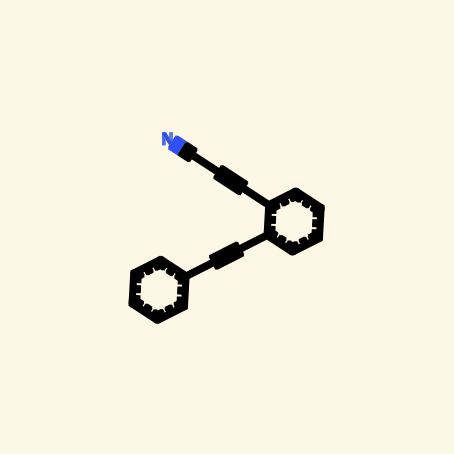 N#CC#Cc1ccccc1C#Cc1ccccc1